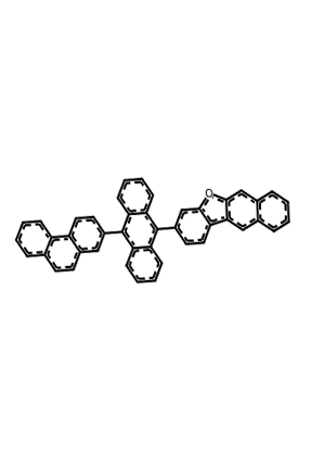 c1ccc2cc3c(cc2c1)oc1cc(-c2c4ccccc4c(-c4ccc5c(ccc6ccccc65)c4)c4ccccc24)ccc13